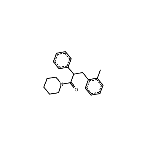 Cc1ccccc1CC(C(=O)N1CCCCC1)c1ccccc1